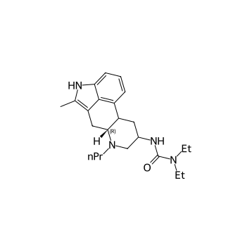 CCCN1CC(NC(=O)N(CC)CC)CC2c3cccc4[nH]c(C)c(c34)C[C@H]21